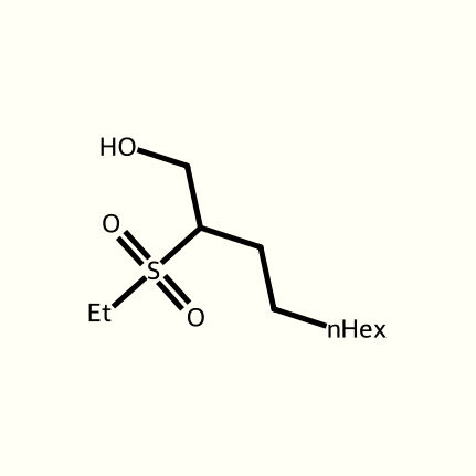 CCCCCCCCC(CO)S(=O)(=O)CC